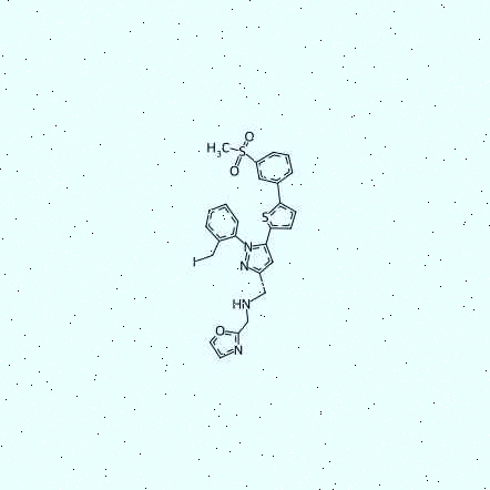 CS(=O)(=O)c1cccc(-c2ccc(-c3cc(CNCc4ncco4)nn3-c3ccccc3CI)s2)c1